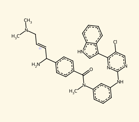 CN(C)C/C=C/C(N)c1ccc(C(=O)N(C)c2cccc(Nc3ncc(Cl)c(-c4c[nH]c5ccccc45)n3)c2)cc1